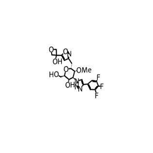 CO[C@@H]1[C@@H](n2cc(-c3cc(F)c(F)c(F)c3)nn2)[C@@H](O)[C@@H](CO)O[C@@H]1Cc1cc(C2(O)COC2)on1